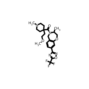 COCCC1(C(=O)N2Cc3ccc(-c4noc(C(F)(F)F)n4)cc3OCC2C)CCN(C)CC1